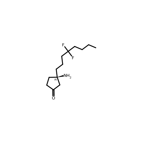 CCCCC(F)(F)CCC[C@@]1(N)CCC(=O)C1